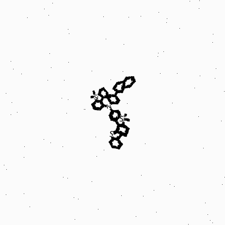 C[Si]1(C)c2ccccc2-c2c(N(c3ccc(-c4ccc5ccccc5c4)cc3)c3ccc4c(c3)[Si](C)(C)c3ccc5c(sc6ccccc65)c3-4)cccc21